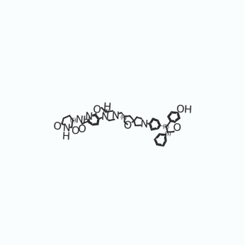 O=C1CC[C@H](NC(=O)c2ccc3c(n2)OC[C@H]2CN(C[C@@H]4COC5(CCN(c6ccc([C@@H]7c8ccc(O)cc8OC[C@@H]7c7ccccc7)cc6)CC5)C4)CCN32)C(=O)N1